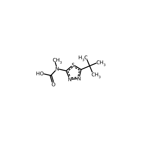 CN(C(=O)O)c1nnc(C(C)(C)C)s1